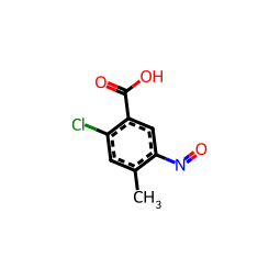 Cc1cc(Cl)c(C(=O)O)cc1N=O